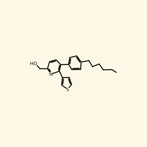 CCCCCCc1ccc(-c2ccc(CO)nc2-c2ccsc2)cc1